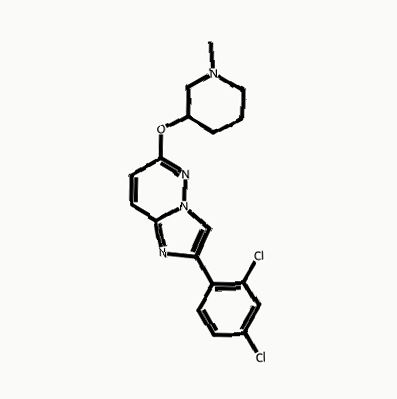 CN1CCCC(Oc2ccc3nc(-c4ccc(Cl)cc4Cl)cn3n2)C1